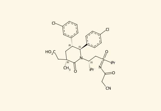 CC(C)[C@@H](CS(=O)(=NC(=O)CC#N)C(C)C)N1C(=O)[C@@](C)(CC(=O)O)C[C@H](c2cccc(Cl)c2)[C@H]1c1ccc(Cl)cc1